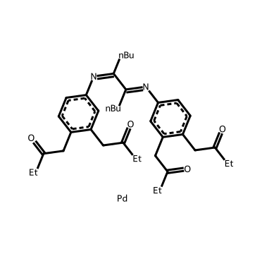 CCCCC(=Nc1ccc(CC(=O)CC)c(CC(=O)CC)c1)C(CCCC)=Nc1ccc(CC(=O)CC)c(CC(=O)CC)c1.[Pd]